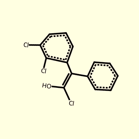 OC(Cl)=C(c1ccccc1)c1cccc(Cl)c1Cl